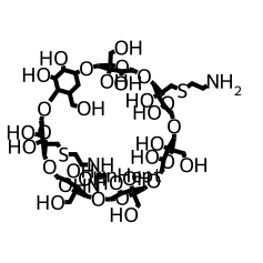 CCCCCCCC(=N)NCCSCC1OC2OC3C(CO)CC(OC4C(CO)OC(OC5C(CSCCN)OC(OC6C(CO)OC(OC7C(CO)OC(OC8C(CO)OC(OC1C(O)C2O)C(O)C8O)C(O)C7O)C(O)C6O)C(O)C5O)C(O)C4O)C(O)C3O